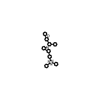 c1ccc(-c2cc(-c3ccc4c(c3)oc3ccccc34)cc(-n3c4ccccc4c4cc(-c5ccc(-c6nc(-c7ccccc7)nc(-c7ccccc7)n6)cc5)ccc43)c2)cc1